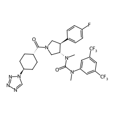 CN(C(=O)N(C)[C@@H]1CN(C(=O)[C@H]2CC[C@H](n3cnnn3)CC2)C[C@H]1c1ccc(F)cc1)c1cc(C(F)(F)F)cc(C(F)(F)F)c1